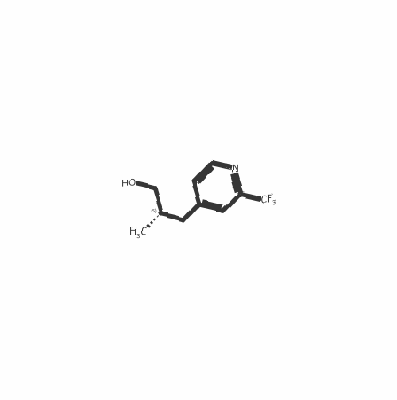 C[C@H](CO)Cc1ccnc(C(F)(F)F)c1